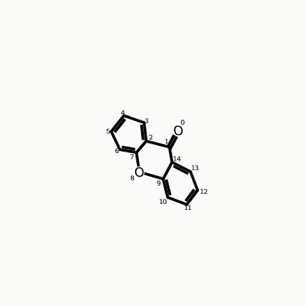 O=c1c2c[c]ccc2oc2ccccc12